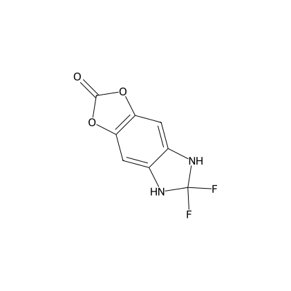 O=c1oc2cc3c(cc2o1)NC(F)(F)N3